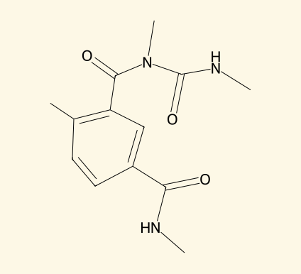 CNC(=O)c1ccc(C)c(C(=O)N(C)C(=O)NC)c1